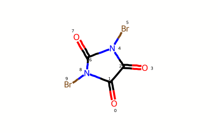 O=C1C(=O)N(Br)C(=O)N1Br